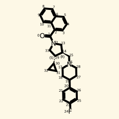 O=C(c1cccc2ccccc12)N1C[C@@H](CN2CCC(c3ccc(F)cc3)CC2)[C@H](C2CC2)C1